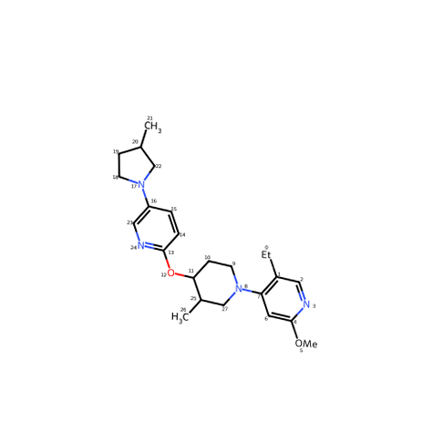 CCc1cnc(OC)cc1N1CCC(Oc2ccc(N3CCC(C)C3)cn2)C(C)C1